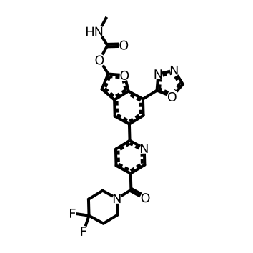 CNC(=O)Oc1cc2cc(-c3ccc(C(=O)N4CCC(F)(F)CC4)cn3)cc(-c3nnco3)c2o1